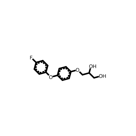 OCC(O)COc1ccc(Oc2ccc(F)cc2)cc1